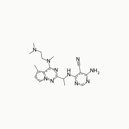 Cc1ccn2nc(C(C)Nc3ncnc(N)c3C#N)nc(N(C)CCN(C)C)c12